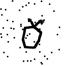 CC[N+]1(C(C)(C)C)CCCCCC1